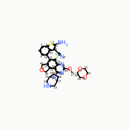 N#Cc1c(N)sc2cccc(-c3c4c(c5c(N6C7CCC6CNC7)nc(OC[C@H]6COCCO6)nc5c3F)COC4)c12